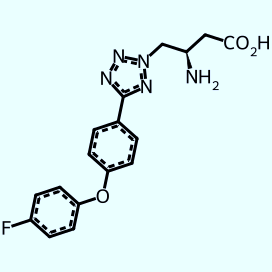 N[C@H](CC(=O)O)Cn1nnc(-c2ccc(Oc3ccc(F)cc3)cc2)n1